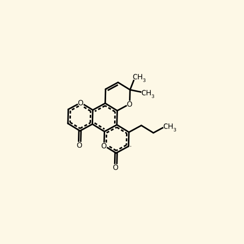 CCCc1[c]c(=O)oc2c1c1c(c3occc(=O)c32)C=CC(C)(C)O1